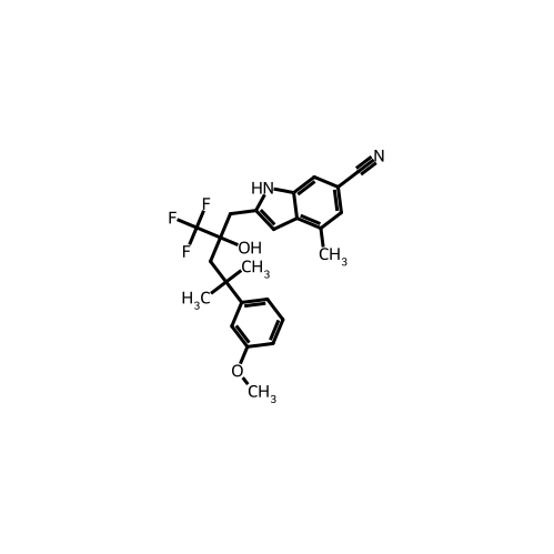 COc1cccc(C(C)(C)CC(O)(Cc2cc3c(C)cc(C#N)cc3[nH]2)C(F)(F)F)c1